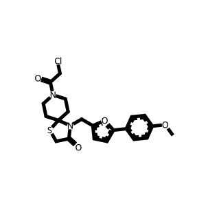 COc1ccc(-c2ccc(CN3C(=O)CSC34CCN(C(=O)CCl)CC4)o2)cc1